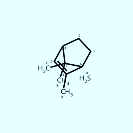 CC1=CC2CCC1C2(C)C.S